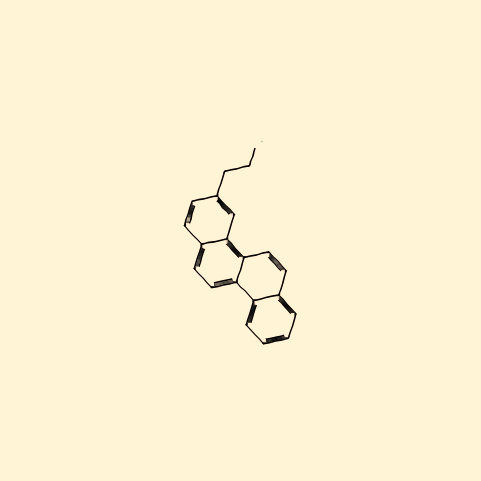 OCCc1ccc2ccc3c4ccccc4ccc3c2c1